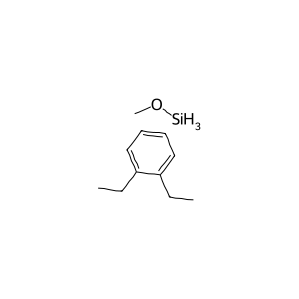 CCc1ccccc1CC.CO[SiH3]